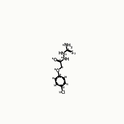 NC(=S)NNC(=O)COc1ccc(Cl)cc1